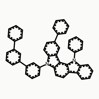 c1ccc(-c2cccc(-c3cccc(-n4c5ccc(-c6ccccc6)cc5c5c4ccc4c6ccccc6n(-c6ccccc6)c45)c3)c2)cc1